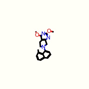 COc1nc2c(c(OC)n1)CCN(c1cccc3cccc(C)c13)C2